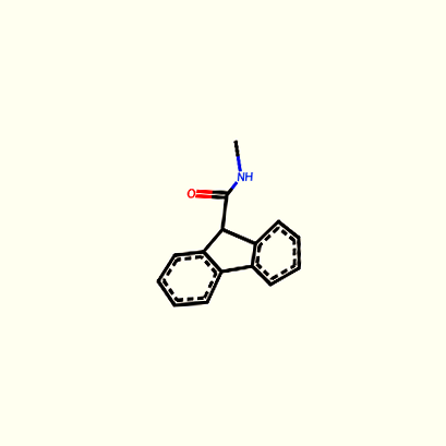 CNC(=O)C1c2ccccc2-c2ccccc21